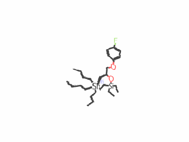 CCC[CH2][Sn](/[CH]=C/C(COc1ccc(F)cc1)O[Si](CC)(CC)CC)([CH2]CCC)[CH2]CCC